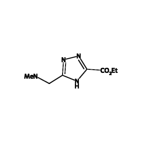 CCOC(=O)c1nnc(CNC)[nH]1